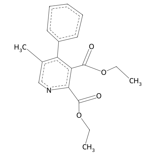 CCOC(=O)c1ncc(C)c(-c2ccccc2)c1C(=O)OCC